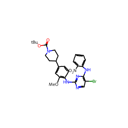 COc1cc(C2CCN(C(=O)OC(C)(C)C)CC2)ccc1Nc1ncc(Br)c(Nc2ccccc2[N+](=O)[O-])n1